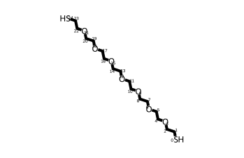 SCCOCCOCCOCCOCCOCCOCCOCCS